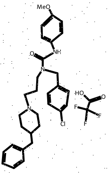 COc1ccc(NC(=O)N(CCCN2CCC(Cc3ccccc3)CC2)Cc2ccc(Cl)cc2)cc1.O=C(O)C(F)(F)F